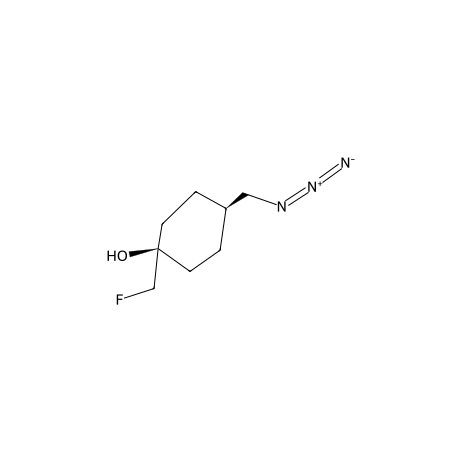 [N-]=[N+]=NC[C@H]1CC[C@](O)(CF)CC1